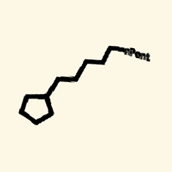 [CH2]CCCCCCCCCC1CCCC1